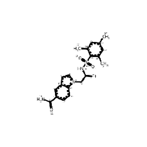 CCC(Cn1ccc2cc(C(N)=O)ccc21)NS(=O)(=O)c1c(C)cc(C)cc1C